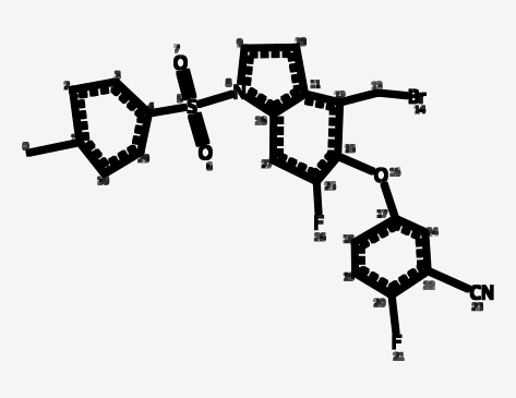 Cc1ccc(S(=O)(=O)n2ccc3c(CBr)c(Oc4ccc(F)c(C#N)c4)c(F)cc32)cc1